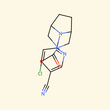 N#Cc1ccc(N2C3CCC2CN(C(=O)CCl)C3)nc1